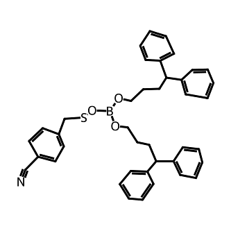 N#Cc1ccc(CSOB(OCCCC(c2ccccc2)c2ccccc2)OCCCC(c2ccccc2)c2ccccc2)cc1